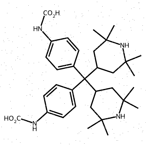 CC1(C)CC(C(c2ccc(NC(=O)O)cc2)(c2ccc(NC(=O)O)cc2)C2CC(C)(C)NC(C)(C)C2)CC(C)(C)N1